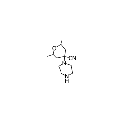 CC1CC(C#N)(N2CCNCC2)CC(C)O1